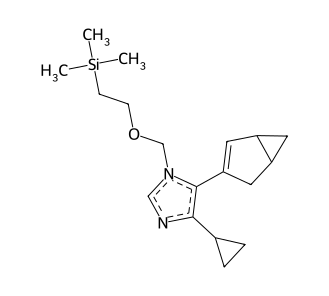 C[Si](C)(C)CCOCn1cnc(C2CC2)c1C1=CC2CC2C1